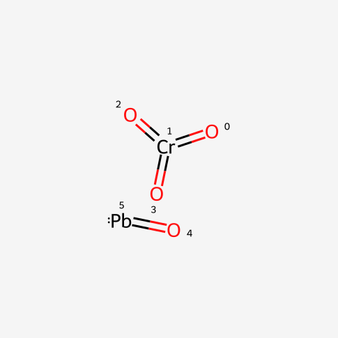 [O]=[Cr](=[O])=[O].[O]=[Pb]